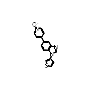 [O-][n+]1ccc(-c2ccc3c(c2)ncn3-c2ccsc2)cc1